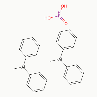 O=[PH](O)O.[CH3][Al]([c]1ccccc1)[c]1ccccc1.[CH3][Al]([c]1ccccc1)[c]1ccccc1